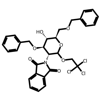 O=C1c2ccccc2C(=O)N1[C@H]1C(OCC(Cl)(Cl)Cl)O[C@H](COCc2ccccc2)[C@@H](O)[C@@H]1OCc1ccccc1